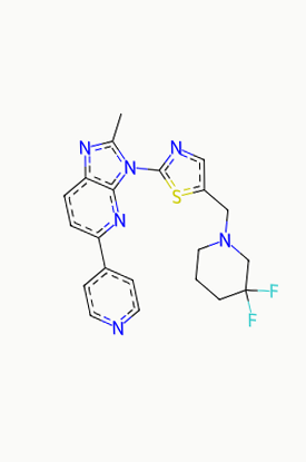 Cc1nc2ccc(-c3ccncc3)nc2n1-c1ncc(CN2CCCC(F)(F)C2)s1